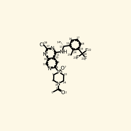 CC(=O)N1CCP(=O)(c2cc3c(N[C@H](C)c4cccc(C(F)(F)F)c4C)nc(Cl)nc3cn2)CC1